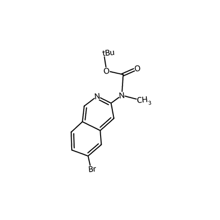 CN(C(=O)OC(C)(C)C)c1cc2cc(Br)ccc2cn1